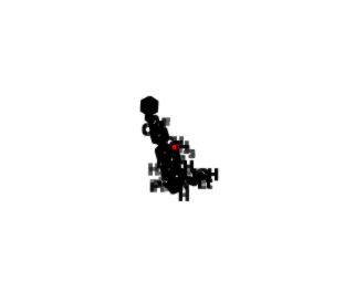 CCC(O)(CC)CCN[C@]12CC[C@@H](C(C)C)[C@@H]1[C@H]1CC[C@@H]3[C@@]4(C)CC=C(C5=CC[C@](CF)(C(=O)OCc6ccccc6)CC5)C(C)(C)[C@@H]4CC[C@@]3(C)[C@]1(C)CC2